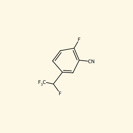 N#Cc1cc(C(F)C(F)(F)F)ccc1F